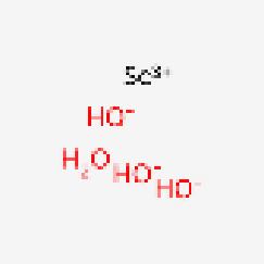 O.[OH-].[OH-].[OH-].[Sc+3]